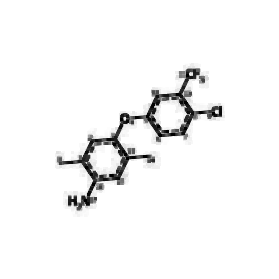 Cc1cc(Oc2ccc(Cl)c(C(F)(F)F)c2)c(C)cc1N